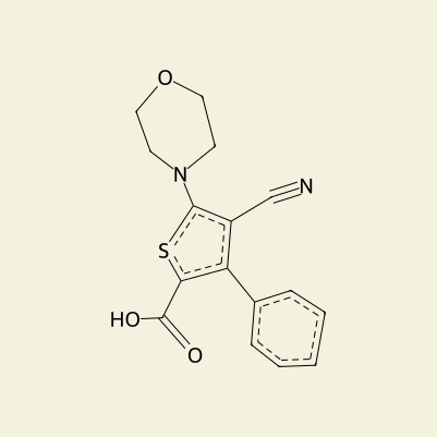 N#Cc1c(N2CCOCC2)sc(C(=O)O)c1-c1ccccc1